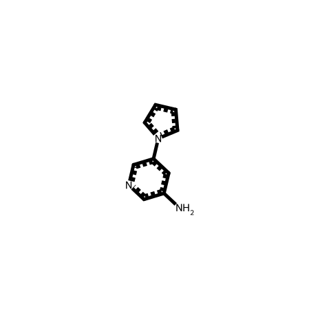 Nc1cncc(-n2cccc2)c1